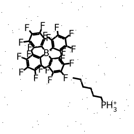 CCCCCC[PH3+].Fc1c(F)c(F)c([B-](c2c(F)c(F)c(F)c(F)c2F)(c2c(F)c(F)c(F)c(F)c2F)c2c(F)c(F)c(F)c(F)c2F)c(F)c1F